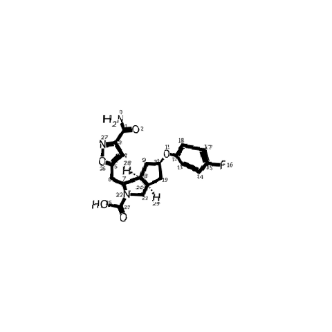 NC(=O)c1cc(CC2[C@H]3C[C@@H](Oc4ccc(F)cc4)C[C@H]3CN2C(=O)O)on1